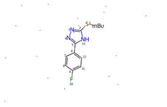 CCCCSc1nnc(-c2ccc(F)cc2)[nH]1